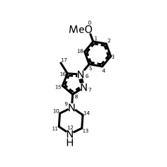 COc1cccc(-n2nc(N3CCNCC3)cc2C)c1